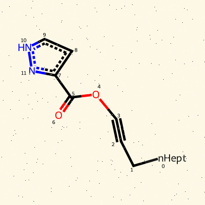 CCCCCCCCC#COC(=O)c1cc[nH]n1